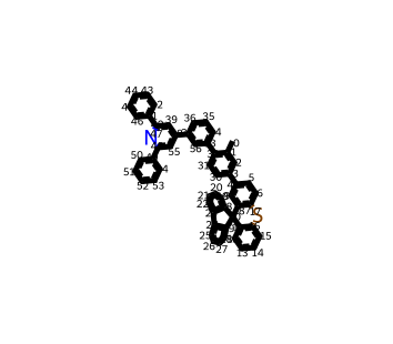 Cc1cc(-c2ccc3c(c2)C2(c4ccccc4S3)c3ccccc3-c3ccccc32)ccc1-c1cccc(-c2cc(-c3ccccc3)nc(-c3ccccc3)c2)c1